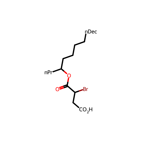 CCCCCCCCCCCCCCC(CCC)OC(=O)C(Br)CC(=O)O